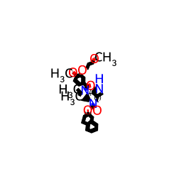 COCCCOc1cc(C(=O)N(C[C@@H]2CNC[C@H]2CN(C(=O)O[C@@H]2CCc3ccccc3C2)C2CC2)C(C)C)ccc1OC